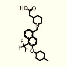 CC1CCC(Oc2ccc3c(CN4CCCC(CC(=O)O)C4)cccc3c2C(F)(F)F)CC1